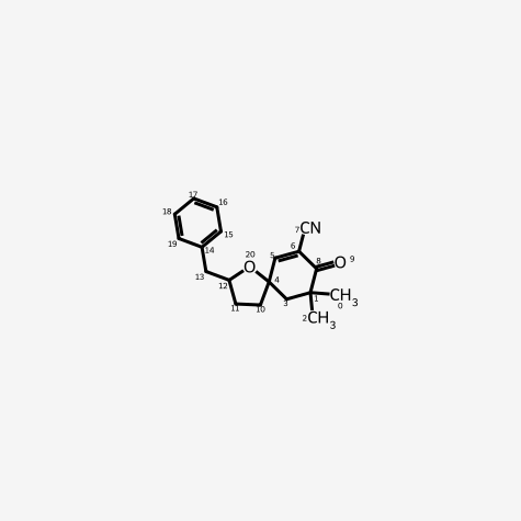 CC1(C)CC2(C=C(C#N)C1=O)CCC(Cc1ccccc1)O2